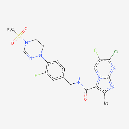 CCc1nc2nc(Cl)c(F)cn2c1C(=O)NCc1ccc(N2CCN(S(=O)(=O)C(F)(F)F)C=N2)c(F)c1